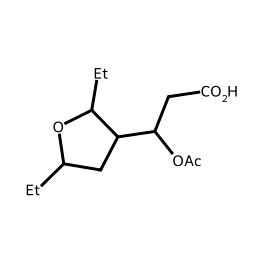 CCC1CC(C(CC(=O)O)OC(C)=O)C(CC)O1